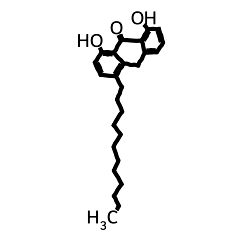 CCCCCCCCCCCCc1ccc(O)c2c1Cc1cccc(O)c1C2=O